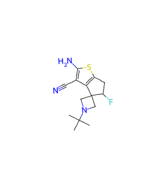 CC(C)(C)N1CC2(C1)c1c(sc(N)c1C#N)CC2F